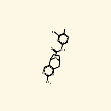 O=C(Nc1ccc(Cl)c(Cl)c1)N1C2CCC1c1cnc(C(F)(F)F)nc1C2